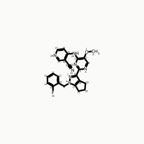 COc1cnc(-c2nn(Cc3ccccc3F)c3c2CCC3)nc1Nc1ccncc1C#N